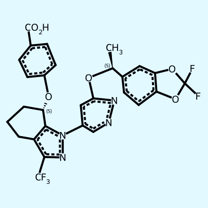 C[C@H](Oc1cc(-n2nc(C(F)(F)F)c3c2[C@@H](Oc2ccc(C(=O)O)cc2)CCC3)cnn1)c1ccc2c(c1)OC(F)(F)O2